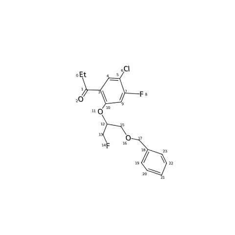 CCC(=O)c1cc(Cl)c(F)cc1OC(CF)COCc1ccccc1